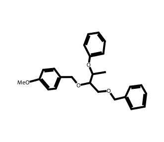 COc1ccc(COC(COCc2ccccc2)C(C)Oc2ccccc2)cc1